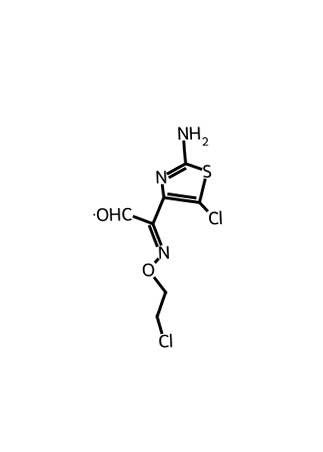 Nc1nc(/C([C]=O)=N/OCCCl)c(Cl)s1